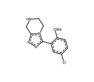 COc1ccc(Cl)cc1-c1nnc2n1CCNC2